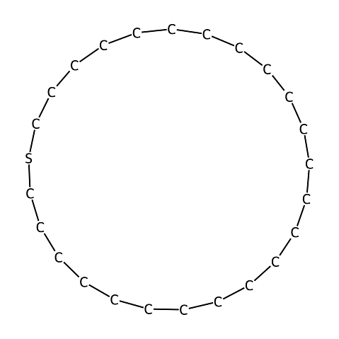 C1CCCCCCCCCCCCSCCCCCCCCCCC1